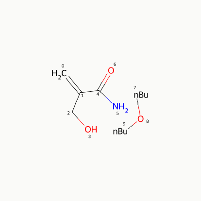 C=C(CO)C(N)=O.CCCCOCCCC